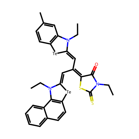 CCN1C(=O)C(=C(C=C2[Te]c3ccc(C)cc3N2CC)C=C2[Te]c3ccc4ccccc4c3N2CC)SC1=S